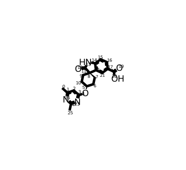 Cc1cc(O[C@H]2CC[C@@]3(CC2)C(=O)Nc2ccc(C(=O)O)cc23)nc(C)n1